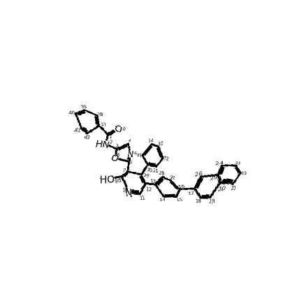 O=C(Nc1cnc(-c2c(O)ncc(-c3ccc(-c4ccc5ccccc5c4)cc3)c2-c2ccccc2)o1)c1ccccc1